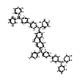 Cc1ccc(N(c2ccc(-c3ccc(N(c4ccccc4)c4ccccc4)cc3)cc2)c2ccc3c(ccc4cc(N(c5ccc(C)cc5)c5ccc(-c6ccc(N(c7ccccc7)c7ccccc7)cc6)cc5)ccc43)c2)cc1